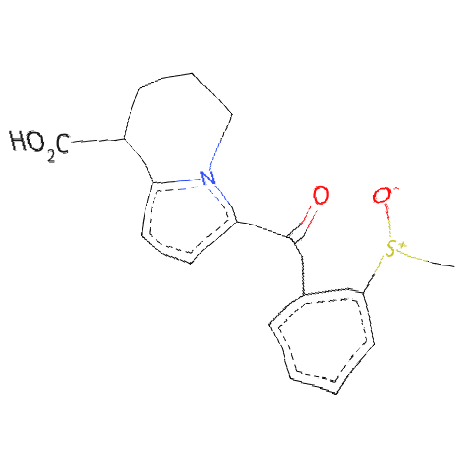 C[S+]([O-])c1ccccc1C(=O)c1ccc2n1CCCC2C(=O)O